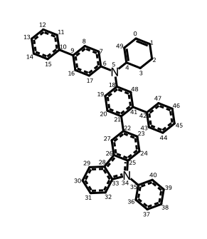 C1=CCCC(N(c2ccc(-c3ccccc3)cc2)c2ccc(-c3ccc4c(c3)c3ccccc3n4-c3ccccc3)c(-c3ccccc3)c2)=C1